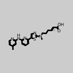 Cc1ccnc(Nc2cccc(-c3cnc(N(C)CCC/C=C/C(=O)O)s3)n2)c1